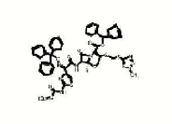 Cn1nnc(SCSC2=C(C(=O)OC(c3ccccc3)c3ccccc3)N3C(=O)C(NC(=O)/C(=N\OC(c4ccccc4)(c4ccccc4)c4ccccc4)c4csc(NC(=O)OC(C)(C)C)n4)[C@@H]3SC2)n1